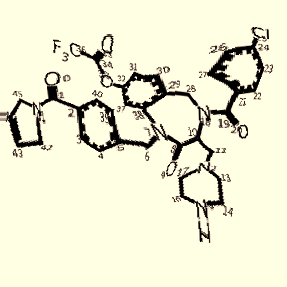 O=C(c1ccc(CN2C(=O)C(CN3CCNCC3)N(C(=O)c3ccc(Cl)cc3)Cc3ccc(OC(=O)C(F)(F)F)cc32)cc1)N1CC=CC1